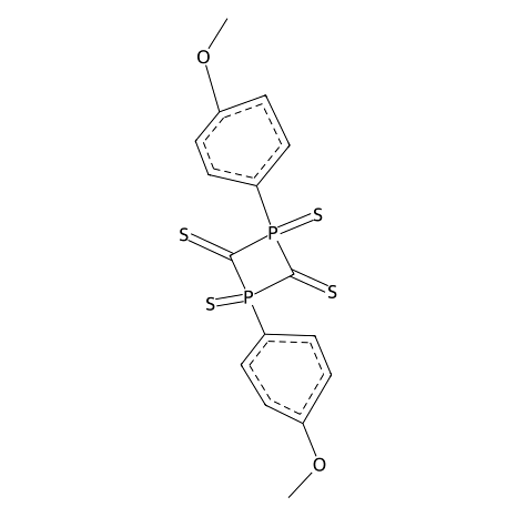 COc1ccc(P2(=S)C(=S)P(=S)(c3ccc(OC)cc3)C2=S)cc1